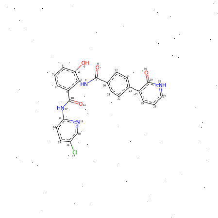 O=C(Nc1c(O)cccc1C(=O)Nc1ccc(Cl)cn1)c1ccc(-c2ccc[nH]c2=O)cc1